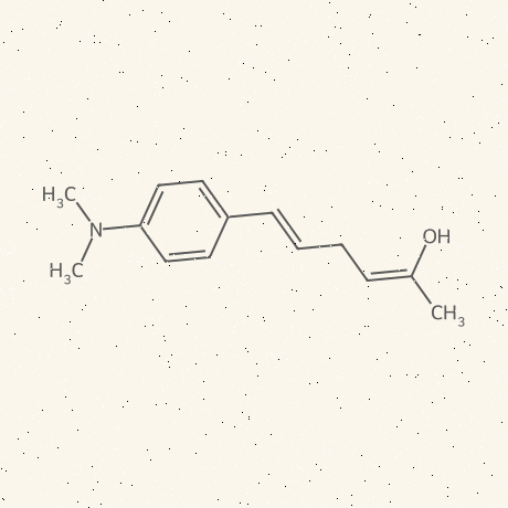 CC(O)=CCC=Cc1ccc(N(C)C)cc1